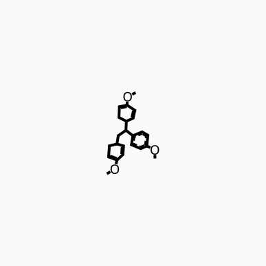 COC1=CCC(CC(c2ccc(OC)cc2)C2C=CC(OC)=CC2)C=C1